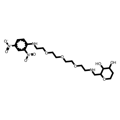 O=[N+]([O-])c1ccc(NCCOCCOCCOCCNCC2OCCC(O)C2O)c([N+](=O)[O-])c1